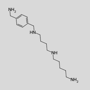 NCCCCCNCCCCNCc1ccc(CN)cc1